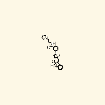 O=C1Nc2ccccc2C1=Cc1ccc(-c2cccc(C(=O)NCCN3CCCC3)c2)o1